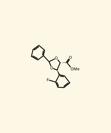 COC(=O)[C@H]1OC(c2ccccc2)O[C@@H]1c1ccccc1F